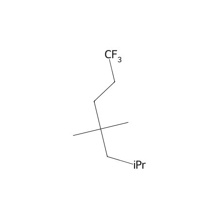 CC(C)CC(C)(C)CCC(F)(F)F